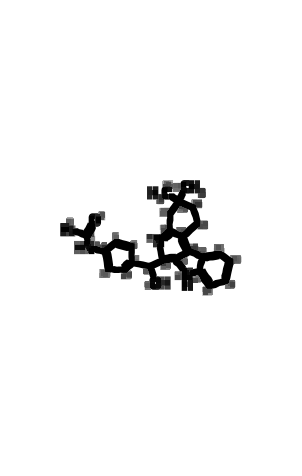 CCC(=O)Nc1ccc(C(O)c2nc3c(c4c2[nH]c2ccccc24)CCC(C)(C)C3)cc1